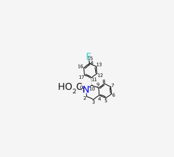 O=C(O)N1CCc2ccccc2[C@H]1c1ccc(F)cc1